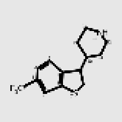 FC(F)(F)c1ccc2c(c1)SCC2C1CCNCC1